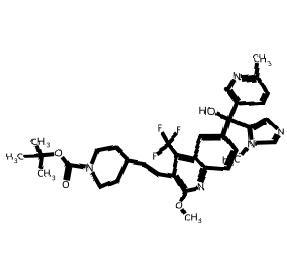 COc1nc2ccc(C(O)(c3ccc(C)nc3)c3cncn3C)cc2c(C(F)(F)F)c1CCC1CCN(C(=O)OC(C)(C)C)CC1